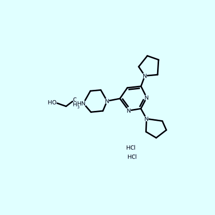 CCO.Cl.Cl.c1c(N2CCCC2)nc(N2CCCC2)nc1N1CCNCC1